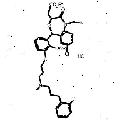 CCOC(=O)CC1OC(c2cccc(OCCCN(C)CCCc3ccccc3Cl)c2OC)c2cc(Cl)ccc2N(CC(C)(C)C)C1=O.Cl